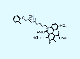 COC(=O)C1=C(C)NC(C(F)(F)F)=C(C(=O)OC)C1c1cc([N+](=O)[O-])ccc1OCCCCNC[C@@H](O)COc1ccccc1C.Cl